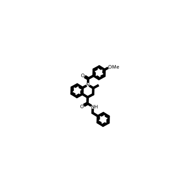 COc1ccc(C(=O)N2c3ccccc3C(C(=O)NCc3ccccc3)CC2C)cc1